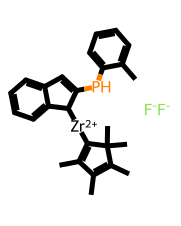 CC1=C(C)C(C)(C)[C]([Zr+2][CH]2C(Pc3ccccc3C)=Cc3ccccc32)=C1C.[F-].[F-]